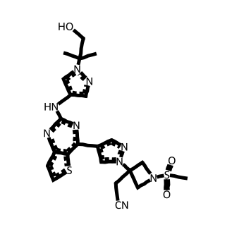 CC(C)(CO)n1cc(Nc2nc(-c3cnn(C4(CC#N)CN(S(C)(=O)=O)C4)c3)c3sccc3n2)cn1